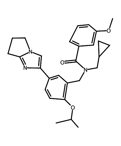 COc1cccc(C(=O)N(Cc2cc(-c3cn4c(n3)CCC4)ccc2OC(C)C)CC2CC2)c1